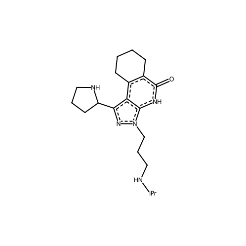 CC(C)NCCCn1nc(C2CCCN2)c2c3c(c(=O)[nH]c21)CCCC3